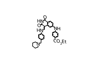 CCOC(=O)c1ccc(Nc2ccc3c(c2)/C(=C/Nc2ccc(CN4CCCCC4)cc2)C(=O)NC3=O)cc1